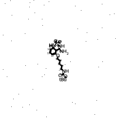 CC(C)(C)OC(=O)NCCCCCOC1=CC=C[C@@H]2NS(=O)(=O)N[C@H](N)C12